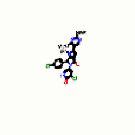 CNc1ncc(-c2cc3c(n2C(C)C)C(C2=CCC(Cl)C=C2)N(c2c[nH]c(=O)c(Cl)c2)C3=O)c(OC)n1